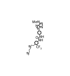 CNc1ncnc2c1ncn2-c1ccc(NC(=O)Nc2ccc(CCN(C)CCCN(C)C)c(C(F)(F)F)c2)cc1